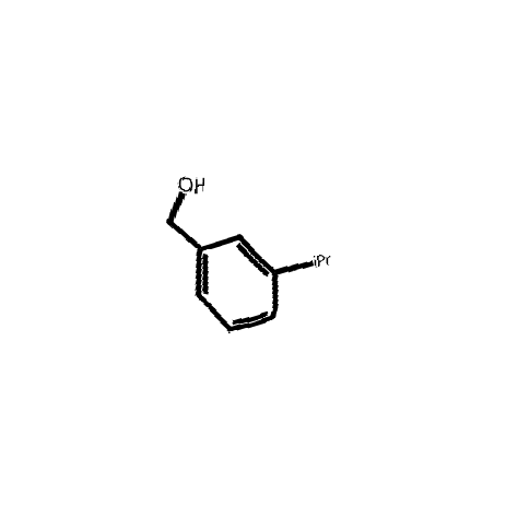 CC(C)c1c[c]cc(CO)c1